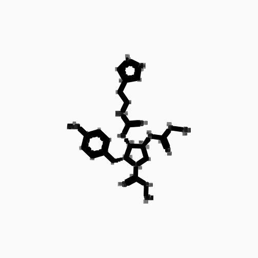 COc1ccc(C[C@@H]2[C@H](OC(=O)NCCc3cn[nH]c3)[C@@H](OC(=O)OC(C)(C)C)CN2C(=O)OC(C)(C)C)cc1